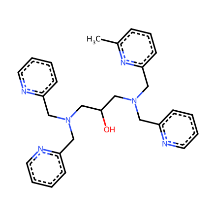 Cc1cccc(CN(Cc2ccccn2)CC(O)CN(Cc2ccccn2)Cc2ccccn2)n1